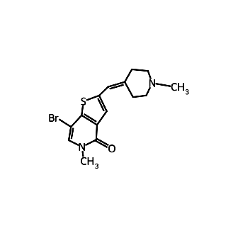 CN1CCC(=Cc2cc3c(=O)n(C)cc(Br)c3s2)CC1